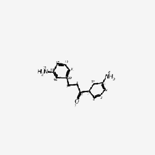 NC1=CC=CC(C(=O)CCc2cccc(N)c2)C1